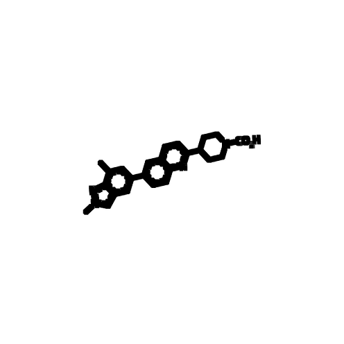 Cc1cc(-c2ccc3nc(C4CCN(C(=O)O)CC4)ccc3c2)cc2cn(C)nc12